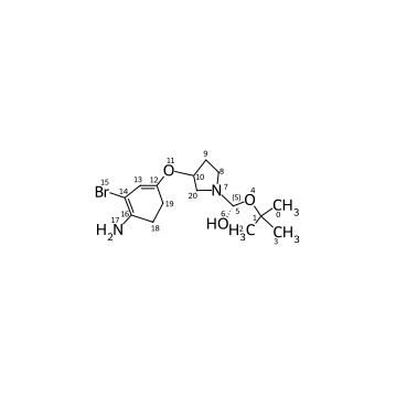 CC(C)(C)O[C@H](O)N1CCC(OC2=CC(Br)=C(N)CC2)C1